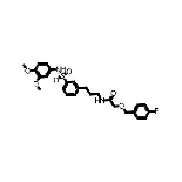 COc1ccc(NS(=O)(=O)c2cccc(CCCNC(=O)COCc3ccc(F)cc3)c2)cc1OC